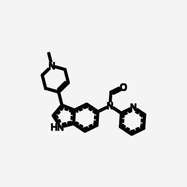 CN1CC=C(c2c[nH]c3ccc(N(C=O)c4ccccn4)cc23)CC1